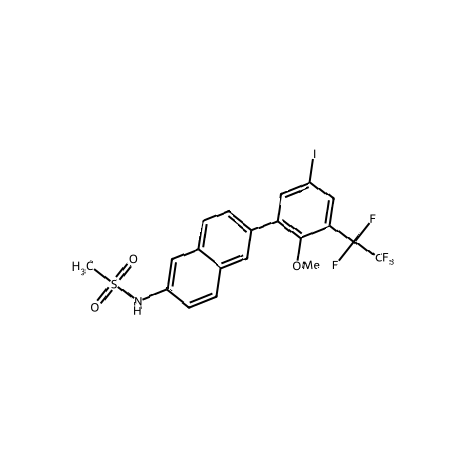 COc1c(-c2ccc3cc(NS(C)(=O)=O)ccc3c2)cc(I)cc1C(F)(F)C(F)(F)F